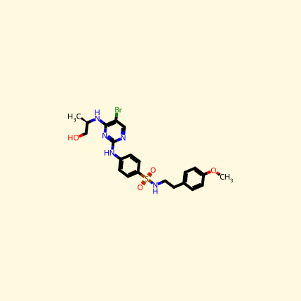 COc1ccc(CCNS(=O)(=O)c2ccc(Nc3ncc(Br)c(N[C@H](C)CO)n3)cc2)cc1